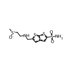 C[S+]([O-])CCNCc1cc2cc(S(N)(=O)=O)sc2s1